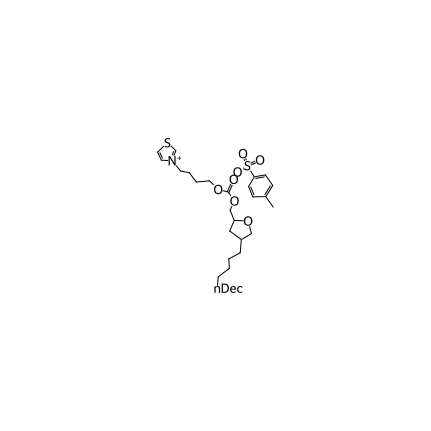 CCCCCCCCCCCCCCC1COC(COC(=O)OCCCC[n+]2ccsc2)C1.Cc1ccc(S(=O)(=O)[O-])cc1